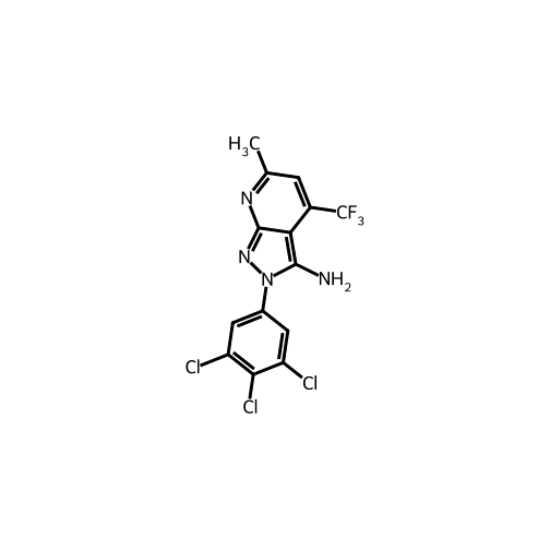 Cc1cc(C(F)(F)F)c2c(N)n(-c3cc(Cl)c(Cl)c(Cl)c3)nc2n1